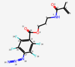 C=C(C)C(=O)NCCCOC(=O)c1c(F)c(F)c(N=[N+]=[N-])c(F)c1F